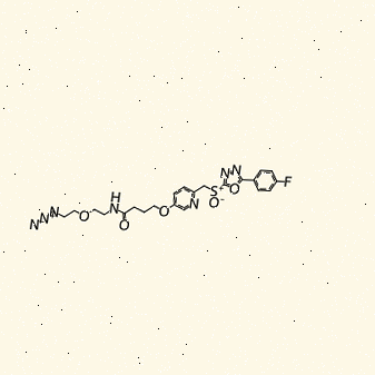 [N-]=[N+]=NCCOCCNC(=O)CCCOc1ccc(C[S+]([O-])c2nnc(-c3ccc(F)cc3)o2)nc1